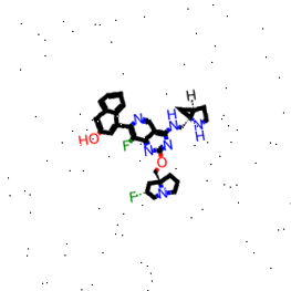 Oc1cc(-c2ncc3c(NC[C@]45C[C@H]4CCN5)nc(OC[C@@]45CCCN4C[C@H](F)C5)nc3c2F)c2ccccc2c1